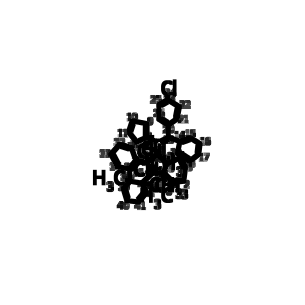 CC1=CC=CC2[CH]([Zr]([C]3=CC=CC3)=[C](c3ccccc3)c3ccc(Cl)cc3)C3(C)C4(C)C=CC=CC4(C)C4(C)C=CC=CC4(C)C3(C)C12C